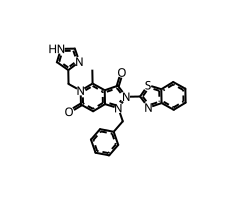 Cc1c2c(=O)n(-c3nc4ccccc4s3)n(Cc3ccccc3)c2cc(=O)n1Cc1c[nH]cn1